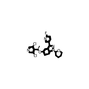 C[C@@H](Oc1ccc2c(c1)c(-c1ccc(F)nc1)nn2C1CCCCO1)c1c(Cl)cncc1Cl